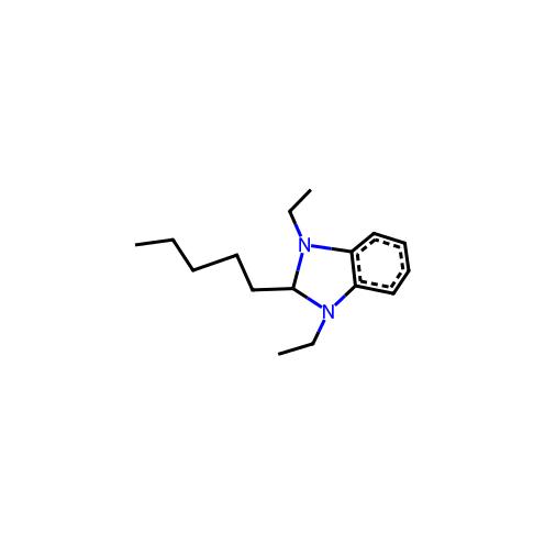 CCCCCC1N(CC)c2ccccc2N1CC